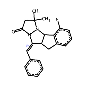 CC1(C)CC(=O)N2/C(=C/c3ccccc3)C3Cc4cccc(F)c4C3N21